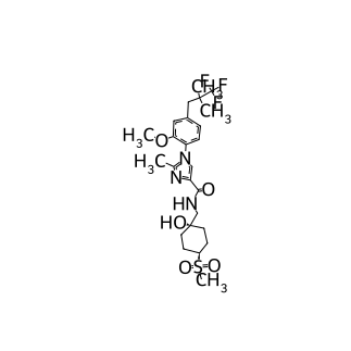 COc1cc(CC(C)(C)C(F)(F)F)ccc1-n1cc(C(=O)NC[C@]2(O)CC[C@@H](S(C)(=O)=O)CC2)nc1C